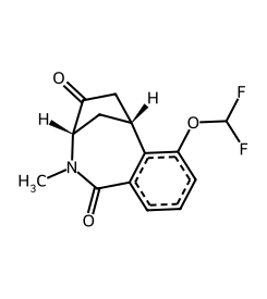 CN1C(=O)c2cccc(OC(F)F)c2[C@H]2CC(=O)[C@@H]1C2